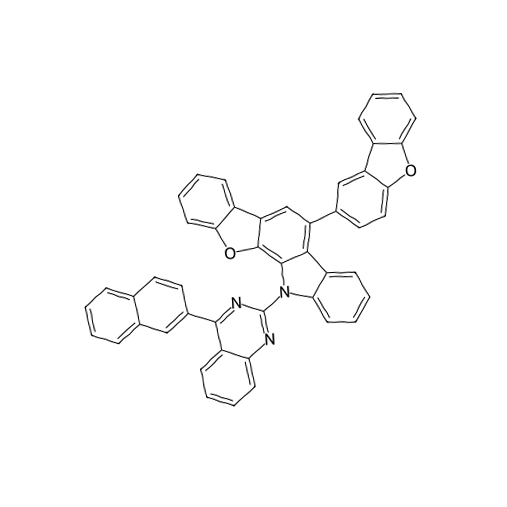 c1ccc2cc(-c3nc(-n4c5ccccc5c5c(-c6ccc7oc8ccccc8c7c6)cc6c7ccccc7oc6c54)nc4ccccc34)ccc2c1